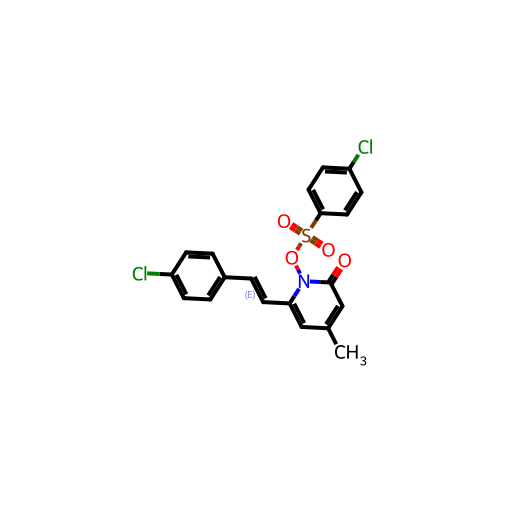 Cc1cc(/C=C/c2ccc(Cl)cc2)n(OS(=O)(=O)c2ccc(Cl)cc2)c(=O)c1